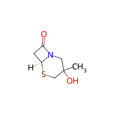 CC1(O)CS[C@H]2CC(=O)N2C1